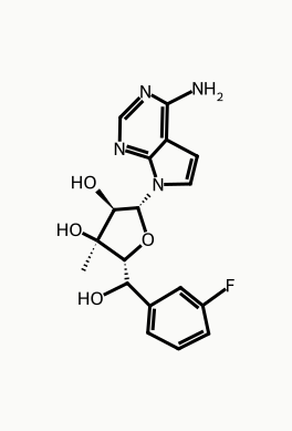 C[C@@]1(O)[C@@H](C(O)c2cccc(F)c2)O[C@@H](n2ccc3c(N)ncnc32)[C@@H]1O